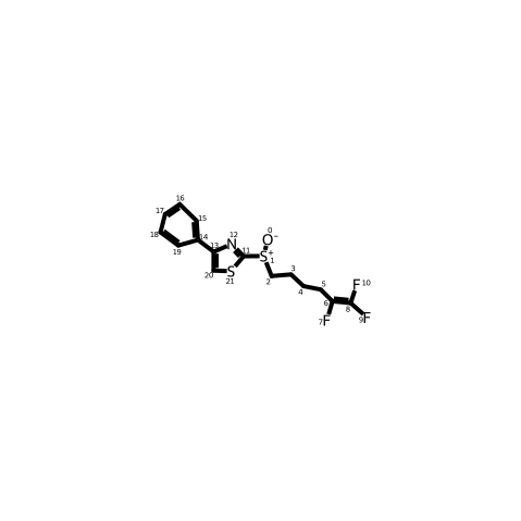 [O-][S+](CCCCC(F)=C(F)F)c1nc(-c2ccccc2)cs1